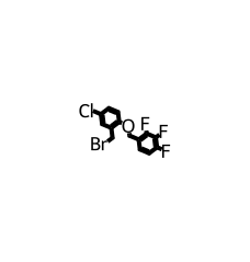 Fc1ccc(COc2ccc(Cl)cc2CBr)c(F)c1F